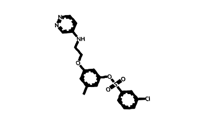 Cc1cc(OCCNc2ccnnc2)cc(OS(=O)(=O)c2cccc(Cl)c2)c1